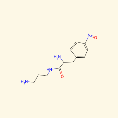 NCCCNC(=O)C(N)Cc1ccc(N=O)cc1